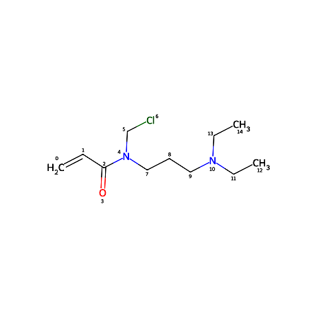 C=CC(=O)N(CCl)CCCN(CC)CC